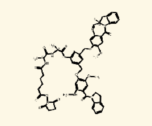 CNc1cc(OCc2cc(COc3cc4c(cc3OC)C(=O)N3c5ccccc5C[C@H]3C=N4)cc(NC(=O)[C@H](C)NC(=O)[C@H](C)NC(=O)CCCCC(=O)ON3C(=O)CCC3=O)c2)c(OC)cc1C(=O)N1CCc2ccccc21